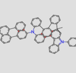 CC1(C)c2ccccc2-c2c(-c3ccccc3N(c3ccc(-c4cccc5cccc(-c6ccccc6)c45)cc3)c3cccc(-c4cccc5c4c4ccccc4n5-c4ccccc4)c3)cccc21